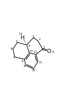 O=C1CC[C@@H]2CCCc3cccc1c32